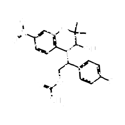 CC1(C)Oc2cc([N+](=O)[O-])ccc2[C@H](C(COC(N)=O)c2ccc(F)cc2)C1O